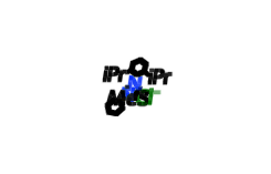 CC(C)c1cccc(C(C)C)c1-n1cc[n+](-c2ccccc2)c1.CSC.[Cl-]